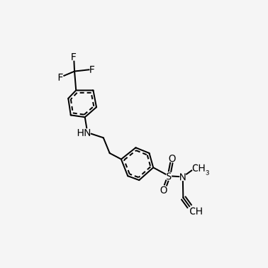 C#CN(C)S(=O)(=O)c1ccc(CCNc2ccc(C(F)(F)F)cc2)cc1